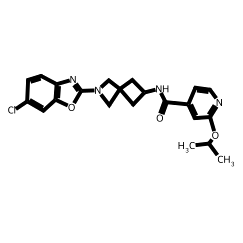 CC(C)Oc1cc(C(=O)NC2CC3(C2)CN(c2nc4ccc(Cl)cc4o2)C3)ccn1